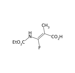 CCOC(=O)NC(F)=C(C)C(=O)O